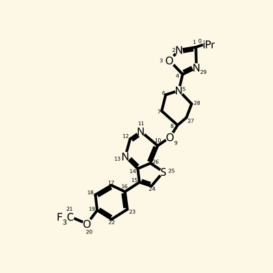 CC(C)c1noc(N2CCC(Oc3ncnc4c(-c5ccc(OC(F)(F)F)cc5)csc34)CC2)n1